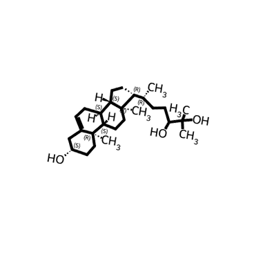 C[C@H](CCC(O)C(C)(C)O)[C@H]1CC[C@H]2[C@@H]3CC=C4C[C@@H](O)CC[C@]4(C)[C@H]3CC[C@]12C